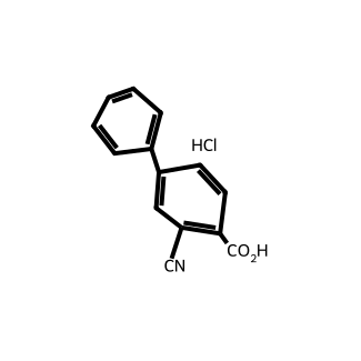 Cl.N#Cc1cc(-c2ccccc2)ccc1C(=O)O